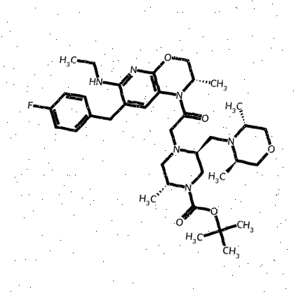 CCNc1nc2c(cc1Cc1ccc(F)cc1)N(C(=O)CN1C[C@@H](C)N(C(=O)OC(C)(C)C)C[C@@H]1CN1[C@H](C)COC[C@H]1C)[C@@H](C)CO2